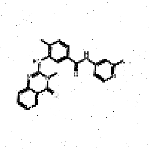 Cc1ccc(C(=O)Nc2ccnc(C(F)(F)F)c2)cc1Nc1nc2ccccc2c(=O)n1C